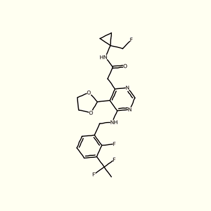 CC(F)(F)c1cccc(CNc2ncnc(CC(=O)NC3(CF)CC3)c2C2OCCO2)c1F